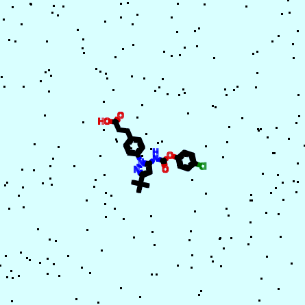 CC(C)(C)c1cc(NC(=O)Oc2ccc(Cl)cc2)n(-c2ccc(CCC(=O)O)cc2)n1